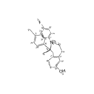 Cc1ccc(C2(C)c3ccc(O)cc3CCN2c2ccc(F)cc2)cc1